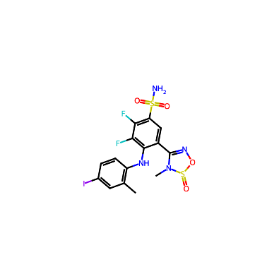 Cc1cc(I)ccc1Nc1c(C2=NOS(=O)N2C)cc(S(N)(=O)=O)c(F)c1F